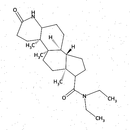 CCN(CC)C(=O)C1CC[C@H]2[C@@H]3CCC4NC(=O)CC[C@]4(C)[C@]3(C)CC[C@]12C